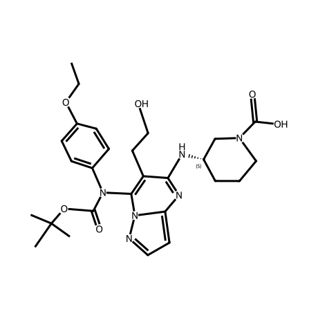 CCOc1ccc(N(C(=O)OC(C)(C)C)c2c(CCO)c(N[C@H]3CCCN(C(=O)O)C3)nc3ccnn23)cc1